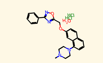 CN1CCN(c2cccc3ccc(OCc4nc(-c5ccccc5)no4)cc23)CC1.Cl.Cl.O